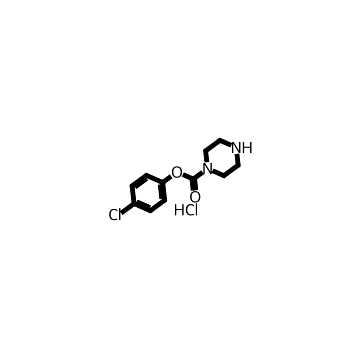 Cl.O=C(Oc1ccc(Cl)cc1)N1CCNCC1